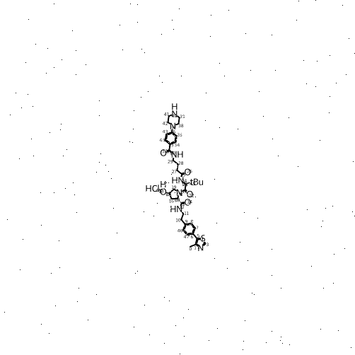 Cc1ncsc1-c1ccc(CCNC(=O)[C@@H]2C[C@H](O)CN2C(=O)[C@@H](NC(=O)CCCNC(=O)c2ccc(N3CCNCC3)cc2)C(C)(C)C)cc1.Cl